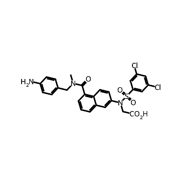 CN(Cc1ccc(N)cc1)C(=O)c1cccc2cc(N(CC(=O)O)S(=O)(=O)c3cc(Cl)cc(Cl)c3)ccc12